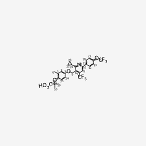 Cc1cc(OCc2c(C(F)(F)F)cc(-c3ccc(OC(F)(F)F)cc3)nc2C2CC2)ccc1OC(C)(C)C(=O)O